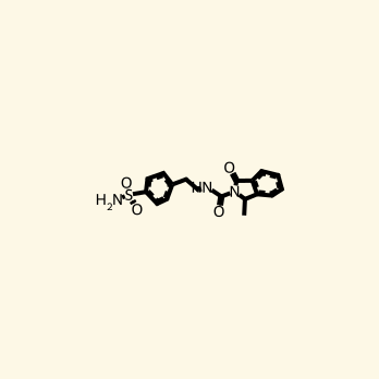 CC1c2ccccc2C(=O)N1C(=O)NCCc1ccc(S(N)(=O)=O)cc1